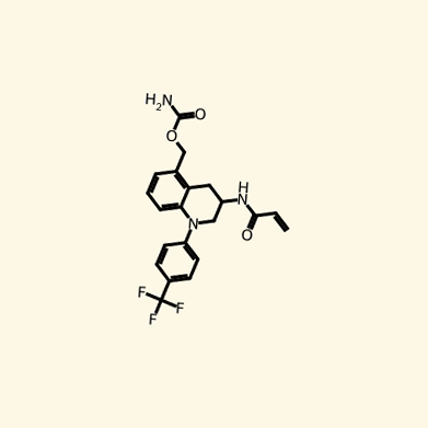 C=CC(=O)NC1Cc2c(COC(N)=O)cccc2N(c2ccc(C(F)(F)F)cc2)C1